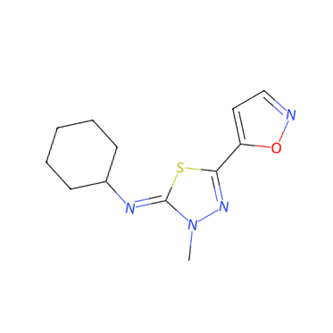 Cn1nc(-c2ccno2)s/c1=N\C1CCCCC1